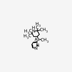 C[As](c1cccnn1)C1CC(C)(C)NC(C)(C)C1